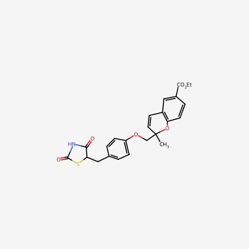 CCOC(=O)c1ccc2c(c1)C=CC(C)(COc1ccc(CC3SC(=O)NC3=O)cc1)O2